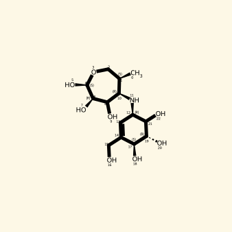 C[C@@H]1CO[C@H](O)[C@H](O)C(O)[C@@H]1N[C@@H]1C=C(CO)[C@H](O)[C@@H](O)C1O